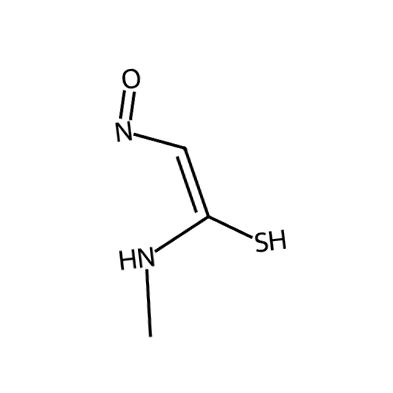 CN/C(S)=C\N=O